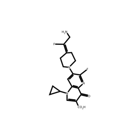 NCC(F)=C1CCN(c2cc3c(nc2F)c(=O)c(C(=O)O)cn3C2CC2)CC1